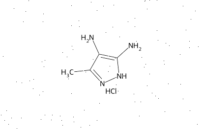 Cc1n[nH]c(N)c1N.Cl